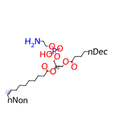 CCCCCCCCC/C=C\CCCCCCCC(=O)O[C@H](COC(=O)CCCCCCCCCCCCC)COP(=O)(O)OCCN